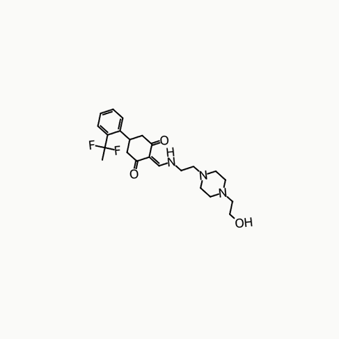 CC(F)(F)c1ccccc1C1CC(=O)C(=CNCCN2CCN(CCO)CC2)C(=O)C1